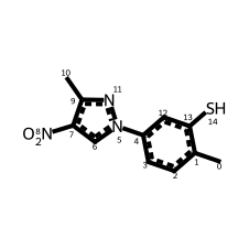 Cc1ccc(-n2cc([N+](=O)[O-])c(C)n2)cc1S